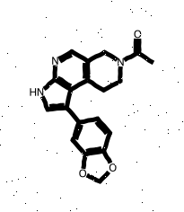 CC(=O)N1CCc2c(cnc3[nH]cc(-c4ccc5c(c4)OCO5)c23)C1